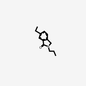 CCCN1Cc2ccc(CC)cc2C1=O